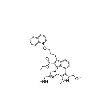 CCOC(=O)c1c(CCCOc2cccc3ccccc23)c2cccc(-c3c(COC)nn(C)c3CBr)c2n1CCCCNC